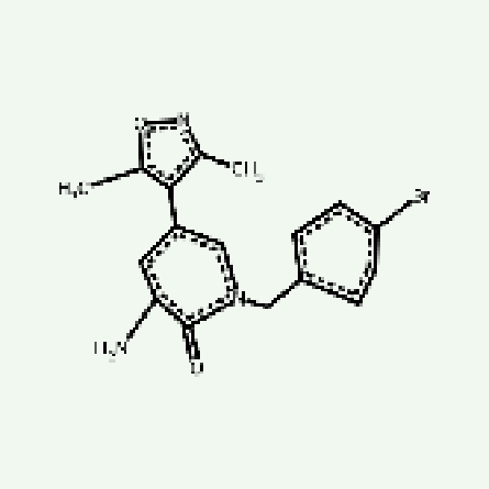 Cc1noc(C)c1-c1cc(N)c(=O)n(Cc2ccc(Br)cc2)c1